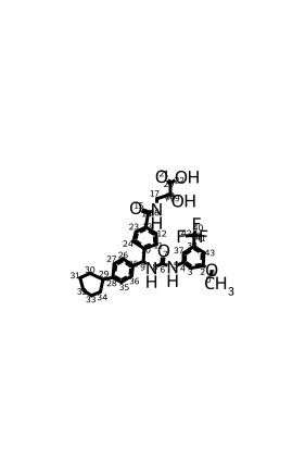 COc1cc(NC(=O)NC(c2ccc(C(=O)NC[C@@H](O)C(=O)O)cc2)c2ccc(C3CCCCC3)cc2)cc(C(F)(F)F)c1